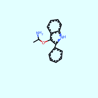 CC(N)Oc1c(-c2ccccc2)[nH]c2ccccc12